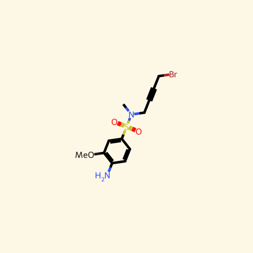 COc1cc(S(=O)(=O)N(C)CC#CCBr)ccc1N